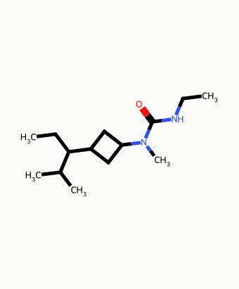 CCNC(=O)N(C)C1CC(C(CC)C(C)C)C1